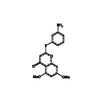 COc1cc(OC)c2c(=O)cc(Sc3cccc(N)c3)oc2c1